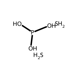 OP(O)O.S.S